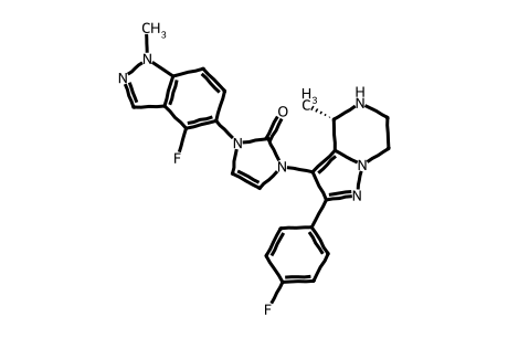 C[C@@H]1NCCn2nc(-c3ccc(F)cc3)c(-n3ccn(-c4ccc5c(cnn5C)c4F)c3=O)c21